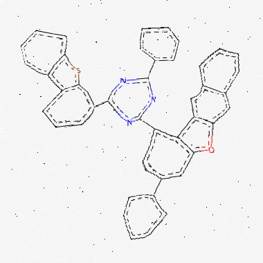 c1ccc(-c2cc(-c3nc(-c4ccccc4)nc(-c4cccc5c4sc4ccccc45)n3)c3c(c2)oc2cc4ccccc4cc23)cc1